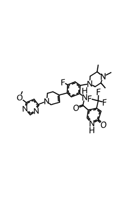 COc1cc(N2CC=C(c3cc(NC(=O)c4c[nH]c(=O)cc4C(F)(F)F)c(N4CC(C)N(C)C(C)C4)cc3F)CC2)ncn1